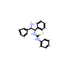 N[C@H](c1ccccc1)[C@H](NC(=S)Nc1ccccc1)c1ccccc1